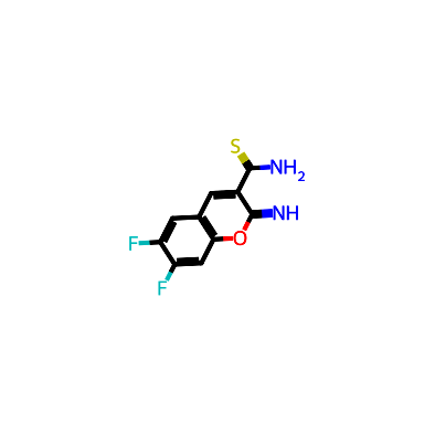 N=c1oc2cc(F)c(F)cc2cc1C(N)=S